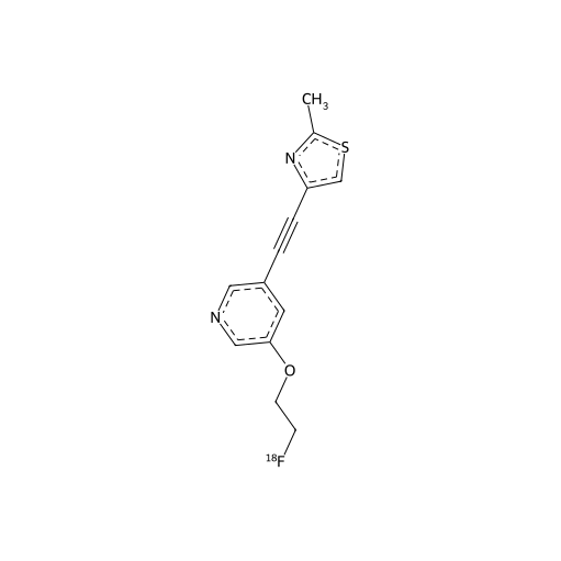 Cc1nc(C#Cc2cncc(OCC[18F])c2)cs1